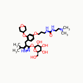 CC(C)c1[nH]nc(O[C@@H]2O[C@H](CO)[C@@H](O)[C@H](O)[C@H]2O)c1Cc1ccc(OCCCNC(=O)NCCN(C)C)cc1OC1CCOCC1